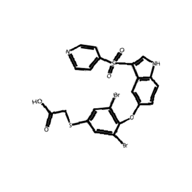 O=C(O)CSc1cc(Br)c(Oc2ccc3[nH]cc(S(=O)(=O)c4ccncc4)c3c2)c(Br)c1